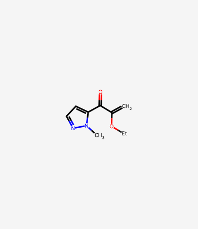 C=C(OCC)C(=O)c1ccnn1C